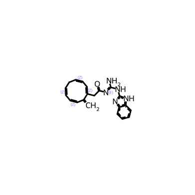 C=C1/C=C\C=C/C/C=C\C=C/1CC(=O)/N=C(\N)Nc1nc2ccccc2[nH]1